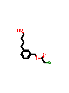 O=C(CBr)OCc1cccc(CCCCO)c1